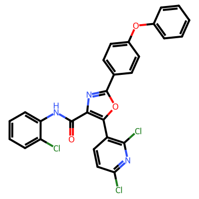 O=C(Nc1ccccc1Cl)c1nc(-c2ccc(Oc3ccccc3)cc2)oc1-c1ccc(Cl)nc1Cl